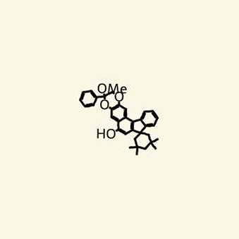 COC1(c2ccccc2)COc2cc3c4c(cc(O)c3cc2O1)C1(CC(C)(C)CC(C)(C)C1)c1ccccc1-4